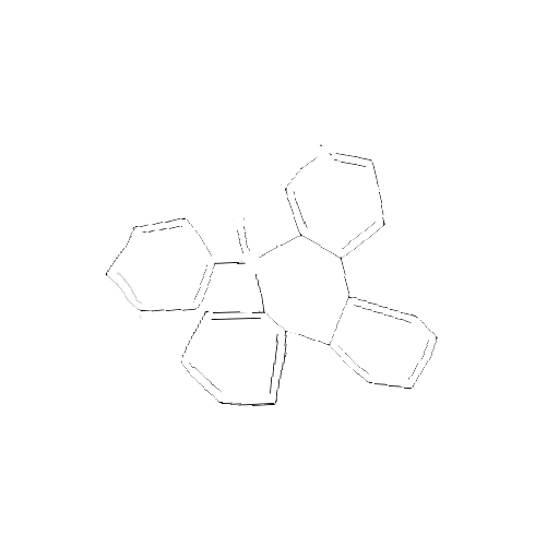 O=P1(c2ccccc2)c2ccccc2-c2ccccc2-c2ccncc21